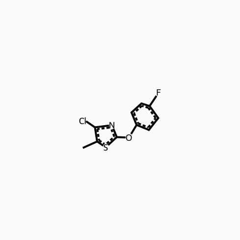 Cc1sc(Oc2ccc(F)cc2)nc1Cl